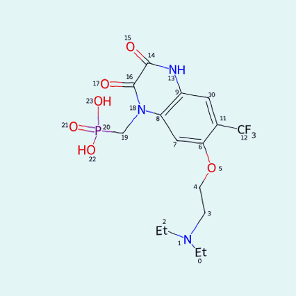 CCN(CC)CCOc1cc2c(cc1C(F)(F)F)[nH]c(=O)c(=O)n2CP(=O)(O)O